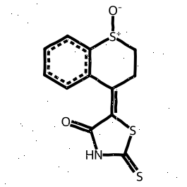 O=C1NC(=S)SC1=C1CC[S+]([O-])c2ccccc21